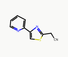 N#CCc1nc(-c2ccccn2)cs1